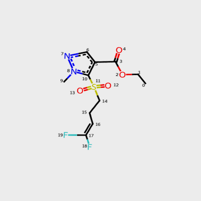 CCOC(=O)c1cnn(C)c1S(=O)(=O)CCC=C(F)F